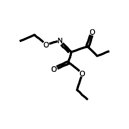 CCON=C(C(=O)CC)C(=O)OCC